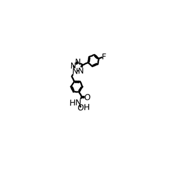 O=C(NO)c1ccc(Cn2nnc(-c3ccc(F)cc3)n2)cc1